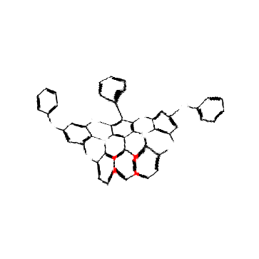 c1ccc(Oc2cc3c4c(c2)Sc2c(c(-c5ccccc5)c5c(c2-c2ccccc2)Sc2cc(Oc6ccccc6)cc6c2B5c2ccccc2O6)B4c2ccccc2O3)cc1